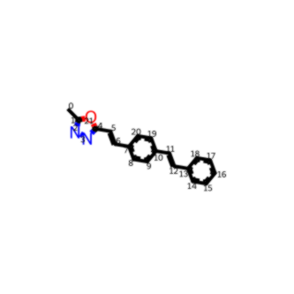 Cc1nnc(C=Cc2ccc(C=Cc3ccccc3)cc2)o1